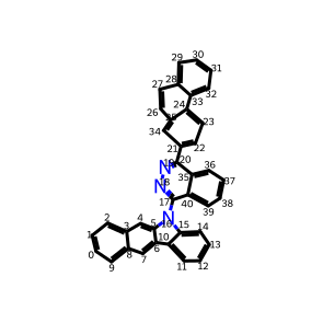 c1ccc2cc3c(cc2c1)c1ccccc1n3-c1nnc(-c2ccc3c(ccc4ccccc43)c2)c2ccccc12